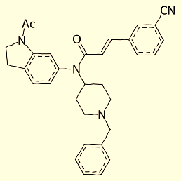 CC(=O)N1CCc2ccc(N(C(=O)/C=C/c3cccc(C#N)c3)C3CCN(Cc4ccccc4)CC3)cc21